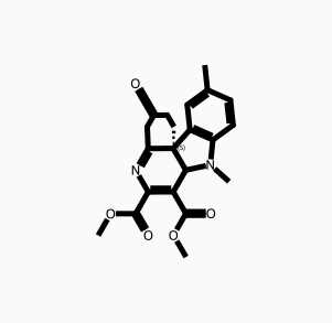 COC(=O)C1=C(C(=O)OC)C2N(C)c3ccc(C)cc3[C@@]23CCC(=O)CC3=N1